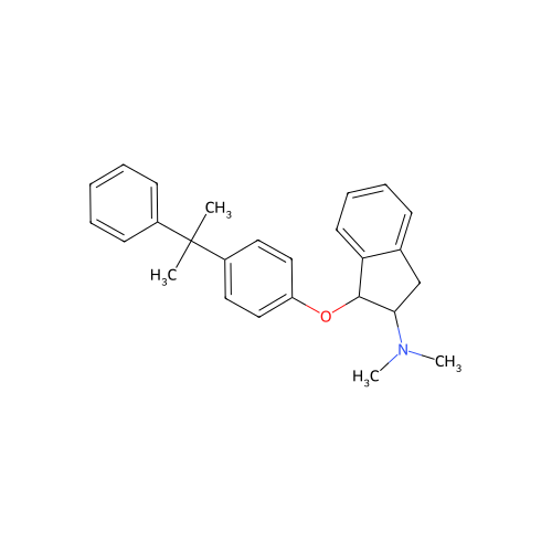 CN(C)C1Cc2ccccc2C1Oc1ccc(C(C)(C)c2ccccc2)cc1